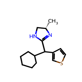 C[C@H]1CNC(C(c2ccsc2)C2CCCCC2)=N1